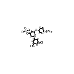 CCS(=O)(=O)Oc1cc(Oc2cnc(SC)nc2)nc(-c2cc(Cl)cc(Cl)c2)c1